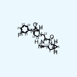 N#C[C@@H]1C[C@@H]2C[C@@H]2N1C(=O)[C@@H](N)CN1CC2C[C@H]1C(=O)N2c1cccc(F)c1